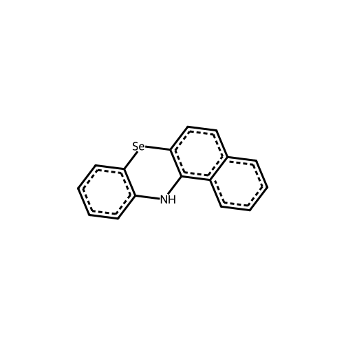 c1ccc2c(c1)Nc1c(ccc3ccccc13)[Se]2